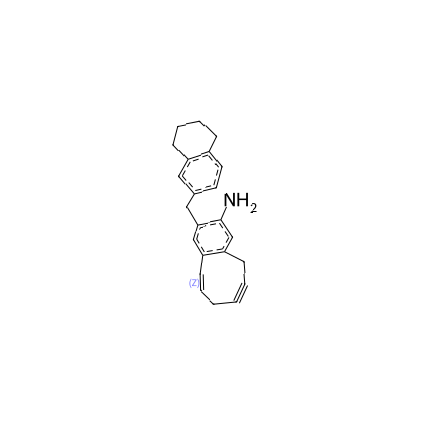 Nc1cc2c(cc1Cc1ccc3c(c1)CCCC3)/C=C\CC#CC2